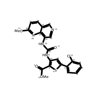 COC(=O)c1sc(-c2ccccc2Cl)cc1NC(=O)Nc1cncc2ccc(OC)nc12